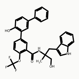 CC(CO)(Cc1c[nH]c2ccccc12)NC(=O)c1cc(-c2cc(-c3ccccc3)ccc2O)ccc1OC(F)(F)F